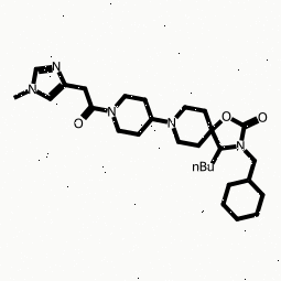 CCCCC1N(CC2CCCCC2)C(=O)OC12CCN(C1CCN(C(=O)Cc3cn(C)cn3)CC1)CC2